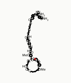 CO[C@H]1CC2CCCC(O2)C(=O)C(=O)N2CCCC[C@H]2C(=O)O[C@H](CC[C@@H]2CC[C@@H](OC(=O)NCc3cnc(N4CCN(c5ncc(C(=O)NCCOCCOCCOCCOCCC(=O)N6CCc7cc(Cn8nc(-c9ccc%10oc(N)nc%10c9)c9c(N)ncnc98)ccc7C6)cn5)CC4)nc3)[C@H](OC)C2)CC(=O)[C@H](C)/C=C(\C)[C@@H](O)CC(=O)[C@H](C)C[C@H](C)/C=C/C=C/C=C/1C